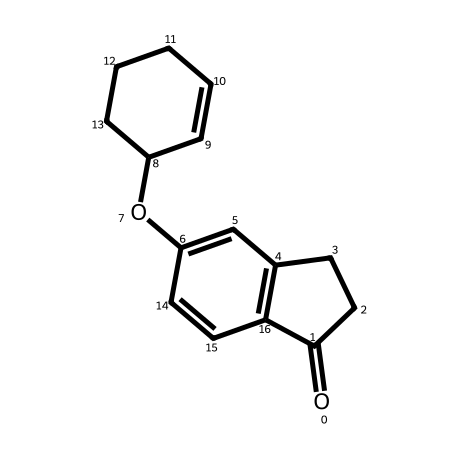 O=C1CCc2cc(OC3C=CCCC3)ccc21